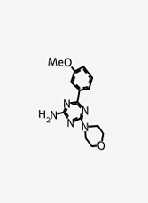 COc1cccc(-c2nc(N)nc(N3CCOCC3)n2)c1